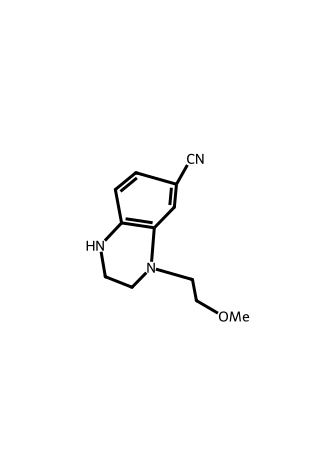 COCCN1CCNc2ccc(C#N)cc21